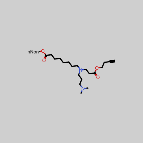 C#CCCOC(=O)CCN(CCCCCCCC(=O)OCCCCCCCCC)CCCN(C)C